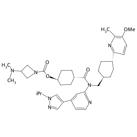 COc1ccc([C@H]2CC[C@H](CN(c3cc(-c4cnn(C(C)C)c4)ccn3)C(=O)[C@H]3CC[C@H](OC(=O)N4CC(N(C)C)C4)CC3)CC2)nc1C